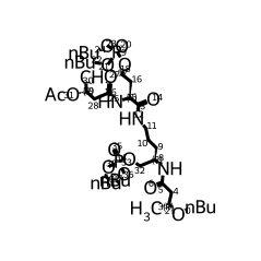 CCCCO[C@H](C)CC(=O)N[C@H](CCCNC(=O)[C@H](CCOP(=O)(OCCCC)OCCCC)NC(=O)C[C@@H](C)OC(C)=O)COP(=O)(OCCCC)OCCCC